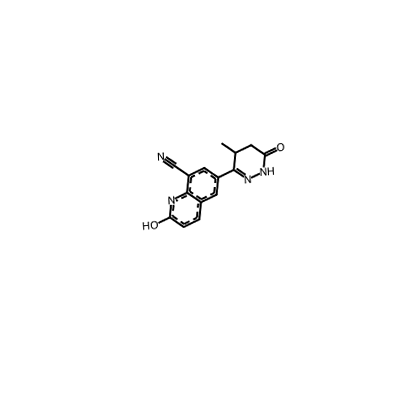 CC1CC(=O)NN=C1c1cc(C#N)c2nc(O)ccc2c1